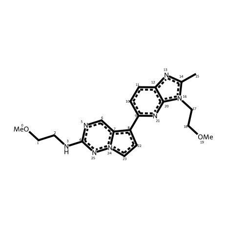 COCCNc1ncc2c(-c3ccc4nc(C)n(CCOC)c4n3)ccn2n1